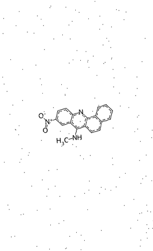 CNc1c2cc([N+](=O)[O-])ccc2nc2c1ccc1ccccc12